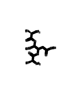 COC(=O)CC(OC(=O)[C@@H](N)C(C)C)C(C=O)OC(=O)[C@@H](N)C(C)C